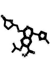 CC(C)Oc1cc2c(OCC3CCC(=O)N3)ncc(-c3ccn(C)n3)c2cc1C(N)=O